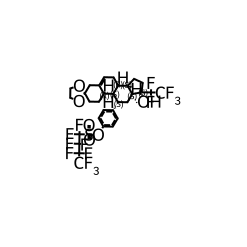 C[C@]12C[C@H](c3ccc(OS(=O)(=O)C(F)(F)C(F)(F)C(F)(F)C(F)(F)F)cc3)[C@H]3[C@@H](CC=C4CC5(CC[C@@H]43)OCCO5)[C@@H]1CC[C@@]2(O)C(F)(F)C(F)(F)F